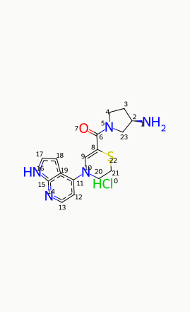 Cl.N[C@@H]1CCN(C(=O)C2=CN(c3ccnc4[nH]ccc34)CCS2)C1